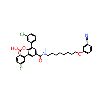 N#Cc1cccc(OCCCCCCCCNC(=O)c2cc(-c3cccc(Cl)c3)c(OC(=O)O)c(-c3cccc(Cl)c3)c2)c1